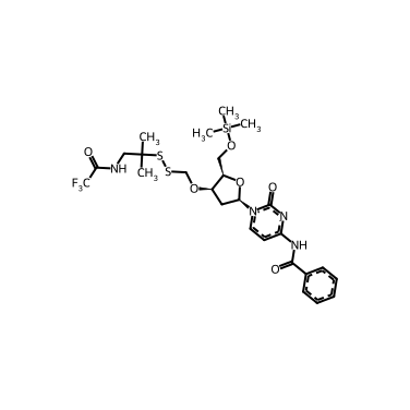 CC(C)(CNC(=O)C(F)(F)F)SSCO[C@@H]1C[C@H](n2ccc(NC(=O)c3ccccc3)nc2=O)O[C@@H]1CO[Si](C)(C)C